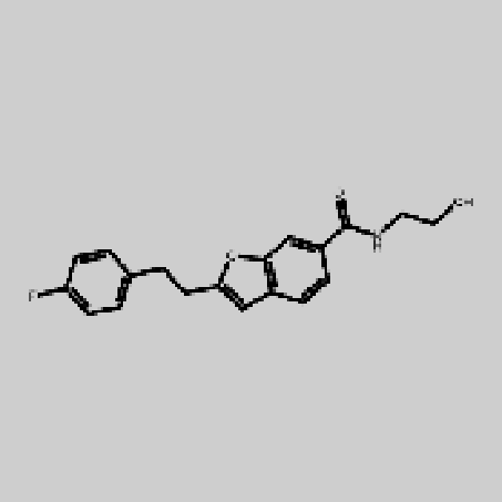 O=C(NCCO)c1ccc2cc(CCc3ccc(F)cc3)oc2c1